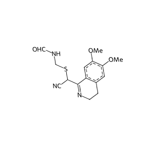 COc1cc2c(cc1OC)C(C(C#N)SCNC=O)=NCC2